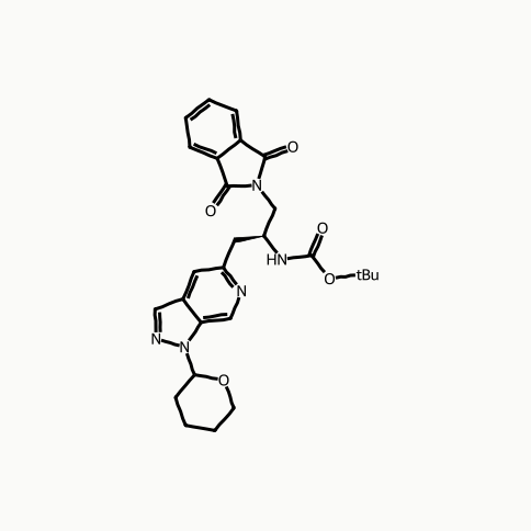 CC(C)(C)OC(=O)N[C@@H](Cc1cc2cnn(C3CCCCO3)c2cn1)CN1C(=O)c2ccccc2C1=O